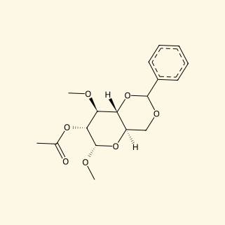 CO[C@H]1O[C@@H]2COC(c3ccccc3)O[C@H]2[C@H](OC)[C@H]1OC(C)=O